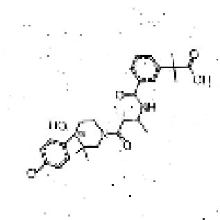 CC(NC(=O)c1cccc(C(C)(C)C(=O)O)c1)[C@@H](C)C(=O)N1CC[C@](O)(c2ccc(Cl)cc2)C(C)(C)C1